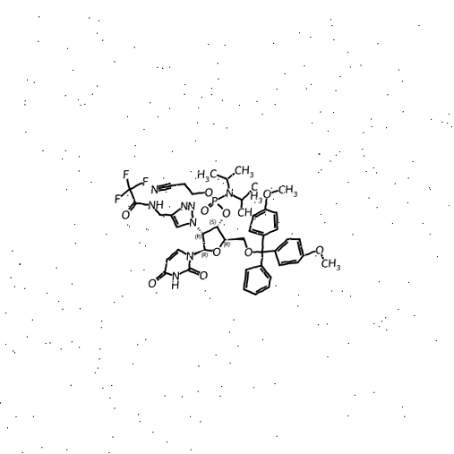 COc1ccc(C(OC[C@H]2O[C@@H](n3ccc(=O)[nH]c3=O)[C@H](n3cc(CNC(=O)C(F)(F)F)nn3)[C@@H]2OP(=O)(OCCC#N)N(C(C)C)C(C)C)(c2ccccc2)c2ccc(OC)cc2)cc1